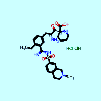 CCc1ccc(C[C@@H](N)C(=O)[C@]2(C(=O)O)CC=CCN2)cc1C(=N)NS(=O)(=O)c1ccc2c(c1)CN(C)CC2.Cl.Cl